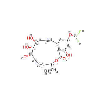 CC1OC(=O)c2c(O)cc(OC(F)F)cc2/C=C/C[C@H](O)[C@H](O)C(=O)/C=C\[C@H]1C